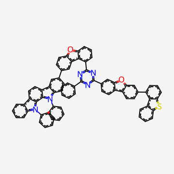 c1ccc(-c2nc(-c3ccc4c(c3)oc3cc(-c5cccc6sc7ccccc7c56)ccc34)nc(-c3cccc4oc5ccc(-c6ccc7c(c6)c6ccc8c9ccccc9n(-c9ccccc9)c8c6n7-c6ccccc6)cc5c34)n2)cc1